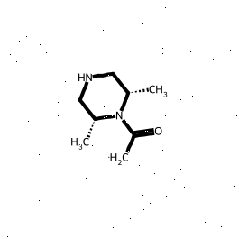 [CH2]C(=O)N1[C@H](C)CNC[C@@H]1C